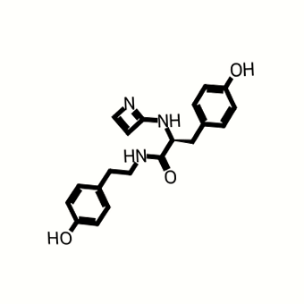 O=C(NCCc1ccc(O)cc1)[C@H](Cc1ccc(O)cc1)NC1=NC=C1